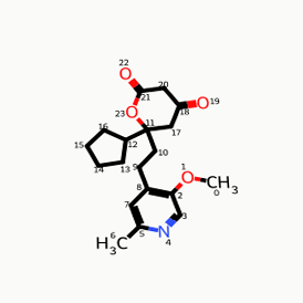 COc1cnc(C)cc1CCC1(C2CCCC2)CC(=O)CC(=O)O1